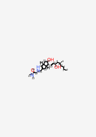 CCCC[C@H](C)C[C@H](O)/C=C/[C@@H]1[C@H]2CC(CNCC(=O)N(C)C)=C[C@H]2C[C@H]1O